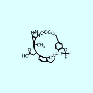 Cc1c2ccc3c1nnn3CCCOCc1ccc(c(OC(F)(F)F)c1)CN1CCc3ccc(cc3C1)C2CC(=O)O